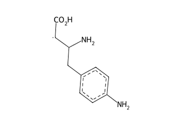 Nc1ccc(CC(N)[CH]C(=O)O)cc1